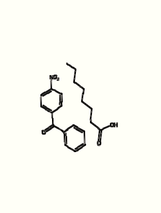 CCCCCCCC(=O)O.O=C(c1ccccc1)c1ccc([N+](=O)[O-])cc1